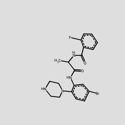 CC(NC(=O)c1ccccc1F)C(=O)Nc1cc(Br)ccc1N1CCNCC1